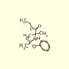 CCOC(=O)C(C)(C)NP(C)(=O)Oc1ccccc1